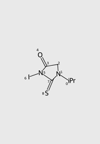 CC(C)N1CC(=O)N(I)C1=S